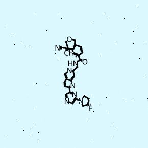 C[C@@]1(C#N)COCc2ccc(C(=O)NCc3cc4nc(-c5cncc(N6CC[C@@H](F)C6)n5)ccc4cn3)cc21